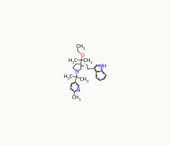 CCOC(C)(C)[C@]1(CCc2c[nH]c3ccccc23)CCN(C(C)(C)c2ccc(C)nc2)C1